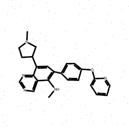 CNc1c(-c2ccc(Oc3ccccn3)cc2)cc(C2CCN(C)C2)c2ncncc12